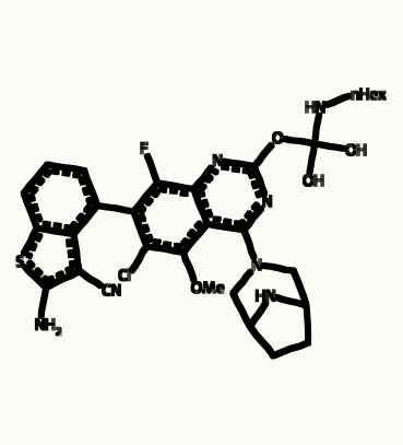 CCCCCCNC(O)(O)Oc1nc(N2CC3CCC(C2)N3)c2c(OC)c(Cl)c(-c3cccc4sc(N)c(C#N)c34)c(F)c2n1